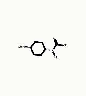 CN[C@H]1CC[C@H](N(C)C(=O)C(F)(F)F)CC1